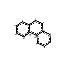 [c]1[c]c2ccc3ccccc3c2cc1